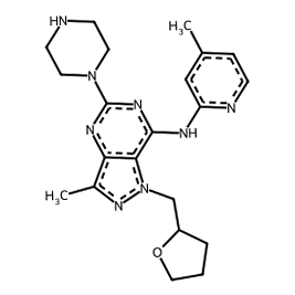 Cc1ccnc(Nc2nc(N3CCNCC3)nc3c(C)nn(CC4CCCO4)c23)c1